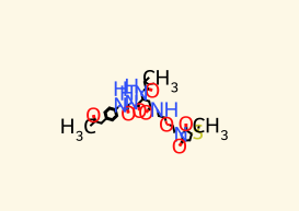 CCC(=O)NC(CC(=O)NCCOCCN1C(=O)CC(SC)C1=O)C(=O)NC(=O)Nc1ccc(CC(C)=O)cc1